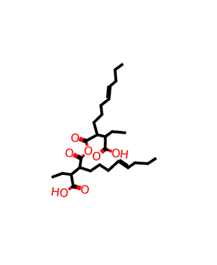 CCC/C=C/CCCC(C(=O)OC(=O)C(CCC/C=C/CCC)C(CC)C(=O)O)C(CC)C(=O)O